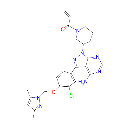 C=CC(=O)N1CCCC(n2nc(-c3ccc(OCn4nc(C)cc4C)c(Cl)c3)c3c(N)ncnc32)C1